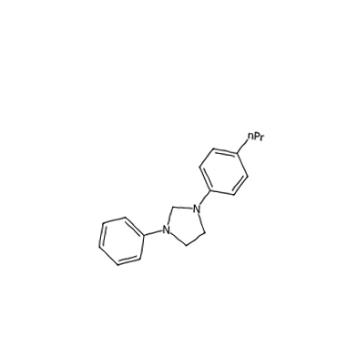 CCCc1ccc(N2CCN(c3ccccc3)C2)cc1